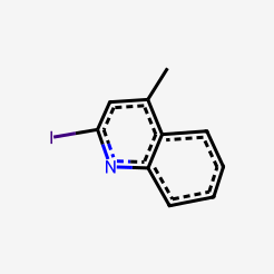 Cc1cc(I)nc2ccccc12